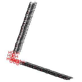 O=C(O)O.O=C(O)O.O=C(O)O.O=C(O)O.O=C(O)O.[Ca+2].[Ca+2].[Ca+2].[Ca+2].[Ca+2].[Ca+2].[Ca+2].[Ca+2].[Ca+2].[Ca+2].[Ca+2].[Ca+2].[Ca+2].[Ca+2].[Ca+2].[Ca+2].[Ca+2].[Ca+2].[Ca+2].[Ca+2].[Ca+2].[Ca+2].[Ca+2].[Ca+2].[Ca+2].[Ca+2].[Ca+2].[Ca+2].[Ca+2].[Ca+2].[Ca+2].[Ca+2].[Ca+2].[Ca+2].[Ca+2].[Ca+2].[Ca+2].[Ca+2].[Ca+2].[Ca+2].[Ca+2].[Ca+2].[Ca+2].[Ca+2].[Ca+2].[Ca+2].[Ca+2].[Ca+2].[Ca+2].[Ca+2].[Ca+2].[Ca+2].[Ca+2].[Ca+2].[Ca+2].[Ca+2].[Ca+2].[Ca+2].[Ca+2].[Ca+2].[Ca+2].[Ca+2].[Ca+2].[Ca+2].[Ca+2].[Ca+2].[Ca+2].[Ca+2].[Ca+2].[Ca+2].[Ca+2].[Ca+2].[Ca+2].[Ca+2].[Ca+2].[Ca+2].[Ca+2].[Ca+2].[Ca+2].[Ca+2].[Ca+2].[Ca+2].[Ca+2].[Ca+2].[Ca+2].[Ca+2].[Ca+2].[Ca+2].[Ca+2].[Ca+2].[Ca+2].[Ca+2].[Ca+2].[Ca+2].[Ca+2].[Ca+2].[Ca+2].[Ca+2].[Ca+2].[Ca+2]